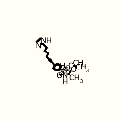 C[C@@H](NS(=O)(=O)c1ccc(C#CCCCCc2ncc[nH]2)cc1)C(=O)OC(C)(C)C